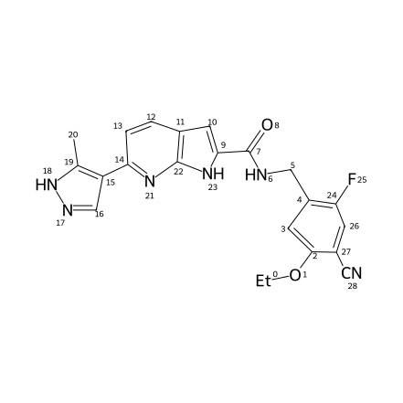 CCOc1cc(CNC(=O)c2cc3ccc(-c4cn[nH]c4C)nc3[nH]2)c(F)cc1C#N